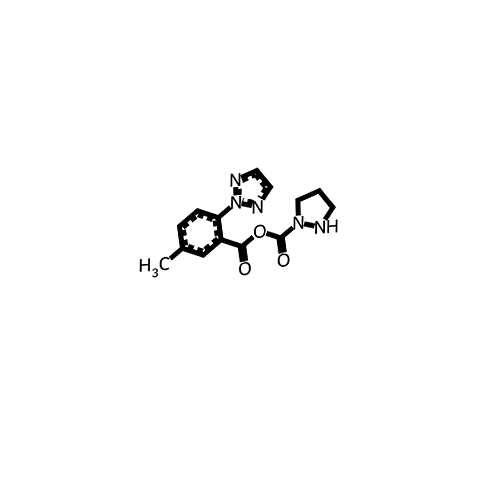 Cc1ccc(-n2nccn2)c(C(=O)OC(=O)N2CCCN2)c1